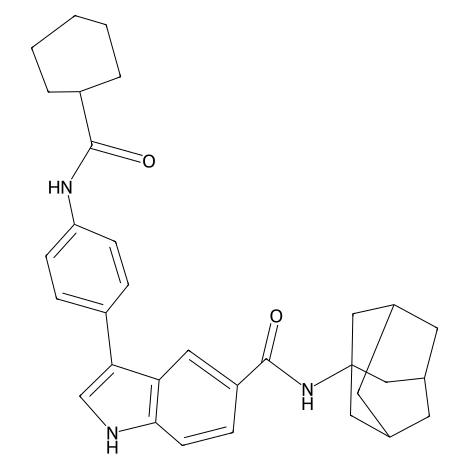 O=C(NC12CC3CC(CC(C3)C1)C2)c1ccc2[nH]cc(-c3ccc(NC(=O)C4CCCCC4)cc3)c2c1